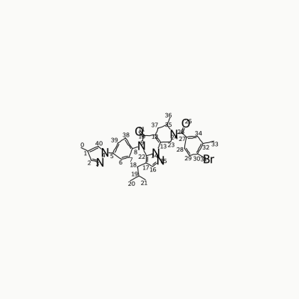 Cc1cnn(-c2ccc(-n3c(=O)c4c(n5ncc(CC(C)C)c35)CN(C(=O)c3ccc(Br)c(C)c3)C(C)C4)cc2)c1